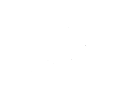 COC(=O)c1ccc2c(c1)c(CN(C)C1CCCN(C(=O)c3ccc(C(C)C)cc3)C1)cn2-c1ccccc1